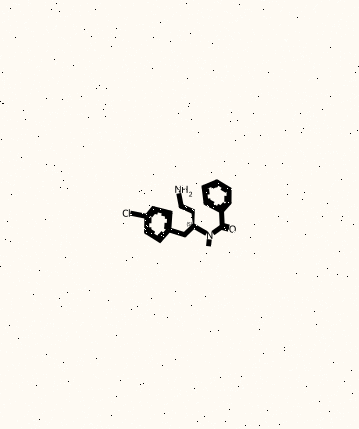 CN(C(=O)c1ccccc1)[C@H](CCN)Cc1ccc(Cl)cc1